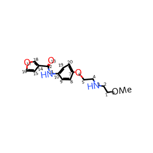 COCCNCCOc1ccc(NC(=O)c2ccoc2)cc1